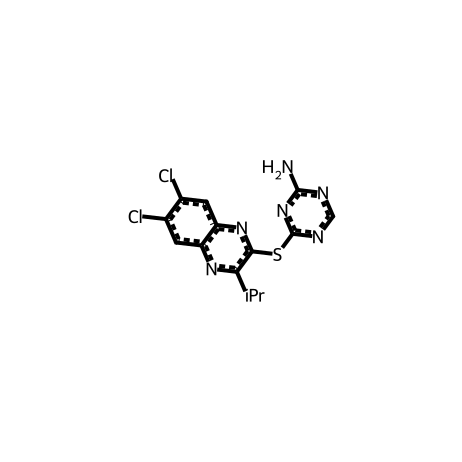 CC(C)c1nc2cc(Cl)c(Cl)cc2nc1Sc1ncnc(N)n1